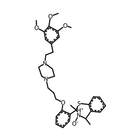 COc1cc(CCN2CCN(CCCOc3ccccc3C3(C)Sc4ccccc4C(C)[NH+]3[O-])CC2)cc(OC)c1OC